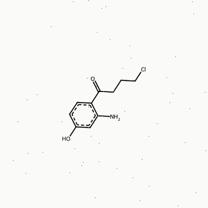 Nc1cc(O)ccc1C(=O)CCCCl